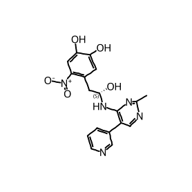 Cc1ncc(-c2cccnc2)c(N[C@@H](O)Cc2cc(O)c(O)cc2[N+](=O)[O-])n1